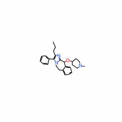 CCCc1nc2n(c1-c1ccccc1)CCc1ccccc1C2OC1CCN(C)CC1